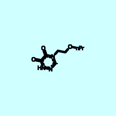 CCCOCCn1[c]n[nH]c(=O)c1=O